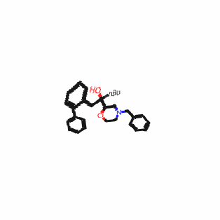 CCCCC(O)(Cc1ccccc1-c1ccccc1)C1CN(Cc2ccccc2)CCO1